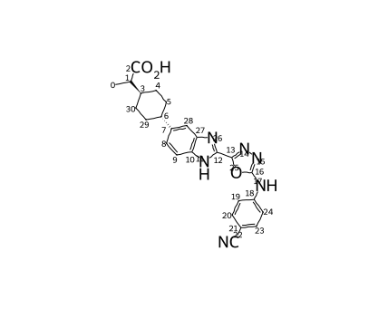 CC(C(=O)O)[C@H]1CC[C@H](c2ccc3[nH]c(-c4nnc(Nc5ccc(C#N)cc5)o4)nc3c2)CC1